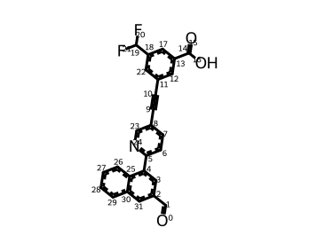 O=Cc1cc(-c2ccc(C#Cc3cc(C(=O)O)cc(C(F)F)c3)cn2)c2ccccc2c1